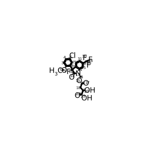 COc1ccc(Cl)cc1C1(F)C(=O)N(COC(=O)CC(O)C(=O)O)c2cc(C(F)(F)F)ccc21